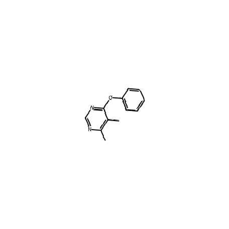 Cc1ncnc(Oc2ccccc2)c1C